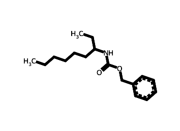 CCCCCCC(CC)NC(=O)OCc1ccccc1